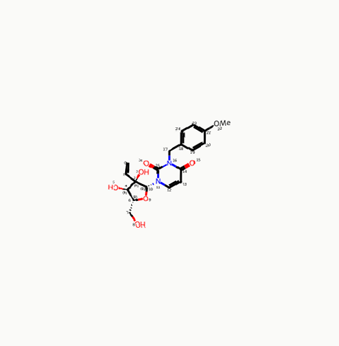 C=C[C@@]1(O)[C@H](O)[C@@H](CO)O[C@H]1n1ccc(=O)n(Cc2ccc(OC)cc2)c1=O